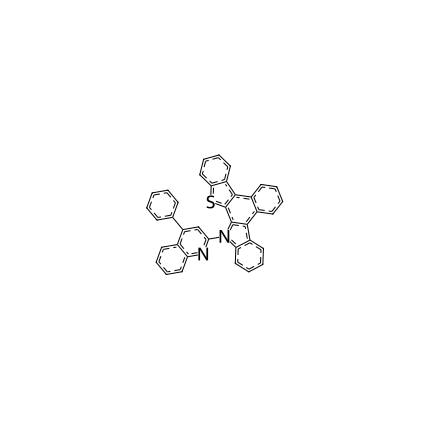 c1ccc(-c2cc(-n3c4ccccc4c4c5ccccc5c5c6ccccc6sc5c43)nc3ccccc23)cc1